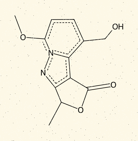 COc1ccc(CO)c2c3c(nn12)C(C)OC3=O